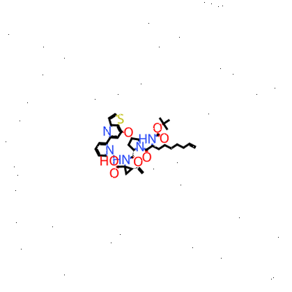 C=CCCCCCC(NC(=O)OC(C)(C)C)C(=O)N1C[C@H](Oc2cc(-c3ccccn3)nc3ccsc23)C[C@H]1C(=O)N[C@]1(C(=O)O)C[C@H]1C=C